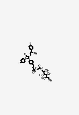 CN(CC(O)C(O)C(O)C(O)CO)C(=O)COC1(CCc2ccc([C@@H]3[C@@H](CCC(O)c4ccc(F)cc4)C(=O)N3c3ccc(F)cc3)cc2)COC1